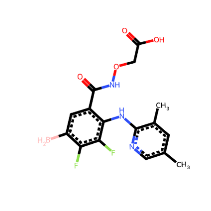 Bc1cc(C(=O)NOCC(=O)O)c(Nc2ncc(C)cc2C)c(F)c1F